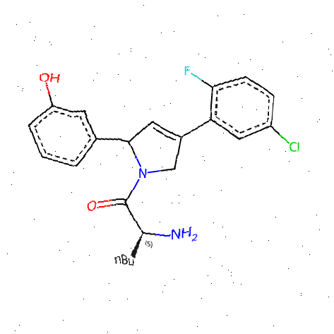 CCCC[C@H](N)C(=O)N1CC(c2cc(Cl)ccc2F)=CC1c1cccc(O)c1